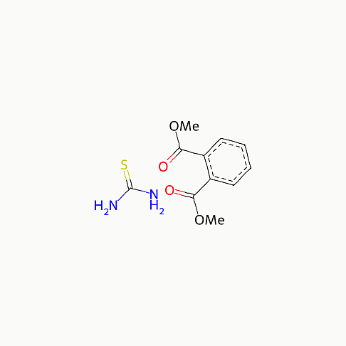 COC(=O)c1ccccc1C(=O)OC.NC(N)=S